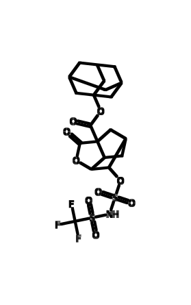 O=C1OC2C(OS(=O)(=O)NS(=O)(=O)C(F)(F)F)C3CC2C1(C(=O)OC12CC4CC(CC(C4)C1)C2)C3